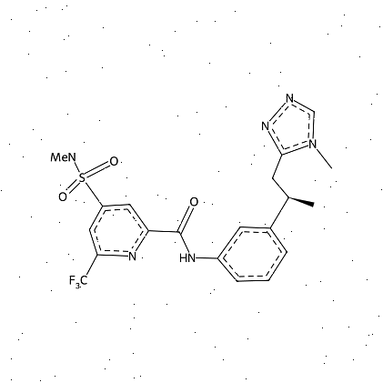 CNS(=O)(=O)c1cc(C(=O)Nc2cccc([C@H](C)Cc3nncn3C)c2)nc(C(F)(F)F)c1